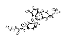 CCOC(=O)c1cc2cnc(S(=O)(=O)Nc3cc(Cl)cnc3N3CCC(OCC)CC3)cc2o1